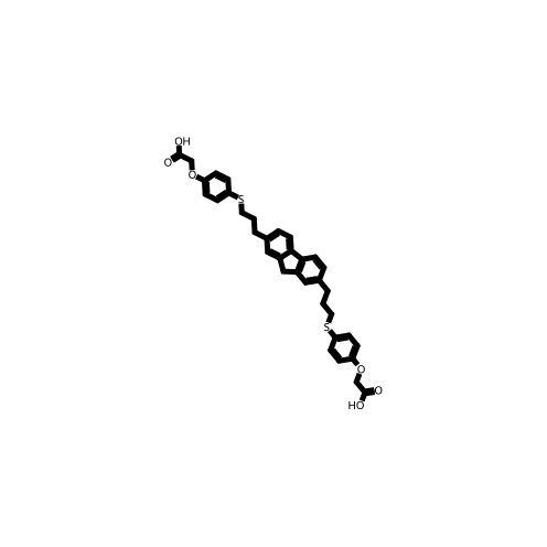 O=C(O)COc1ccc(SCCCc2ccc3c(c2)Cc2cc(CCCSc4ccc(OCC(=O)O)cc4)ccc2-3)cc1